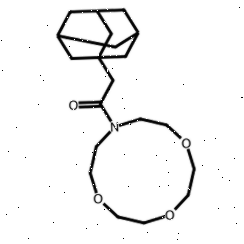 O=C(CC12CC3CC(CC(C3)C1)C2)N1CCOCCOCCOCC1